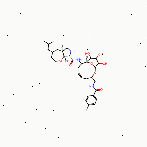 CC(C)C[C@@H]1CCO[C@@H]2[C@H](CN[C@@H]2C(=O)N[C@@H]2C/C=C\C[C@H](CNC(=O)c3ccc(F)cc3)SC3O[C@H]2C(O)C(O)[C@H]3O)C1